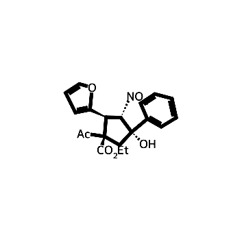 CCOC(=O)[C@]1(C(C)=O)C[C@](O)(c2ccccc2)[C@@H]([N+](=O)[O-])[C@@H]1c1ccco1